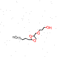 CCCCCCCCCCCC1OCC(COCCCO)O1